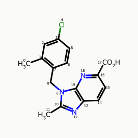 Cc1cc(Cl)ccc1Cn1c(C)nc2ccc(C(=O)O)nc21